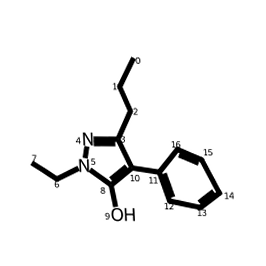 CCCc1nn(CC)c(O)c1-c1ccccc1